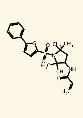 C=CC(=O)NC1CC(C)(C)N(S(=O)(=O)c2ccc(-c3ccccc3)s2)C1(C)C